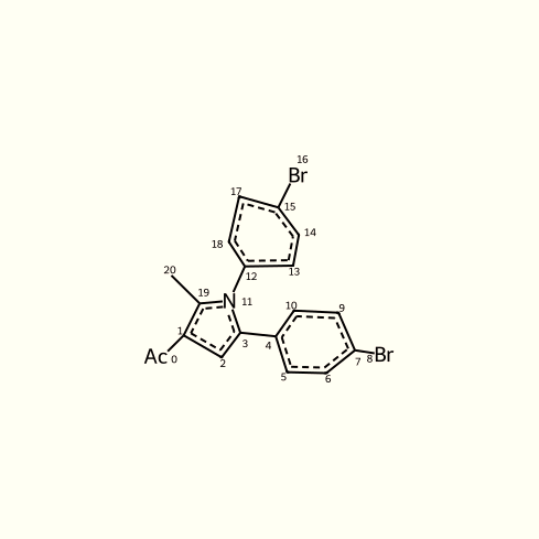 CC(=O)c1cc(-c2ccc(Br)cc2)n(-c2ccc(Br)cc2)c1C